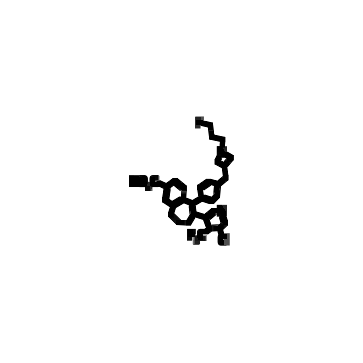 O=C(O)c1ccc2c(c1)CCCC(c1cncc(Cl)c1C(F)(F)F)=C2c1ccc(CC2CN(CCCF)C2)cc1